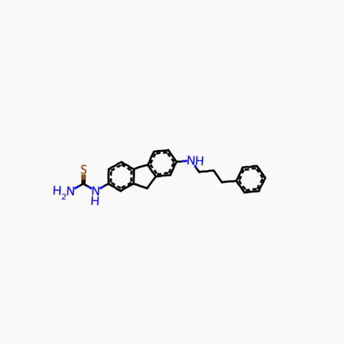 NC(=S)Nc1ccc2c(c1)Cc1cc(NCCCc3ccccc3)ccc1-2